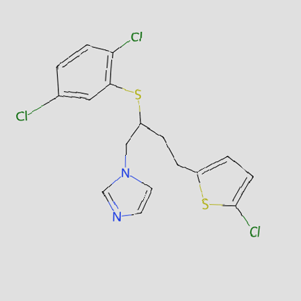 Clc1ccc(Cl)c(SC(CCc2ccc(Cl)s2)Cn2ccnc2)c1